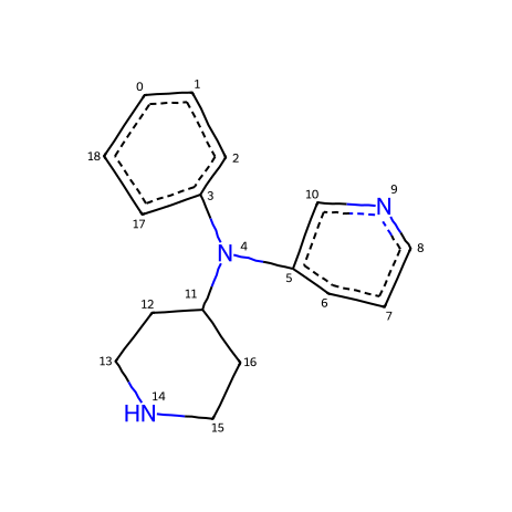 c1ccc(N(c2cccnc2)C2CCNCC2)cc1